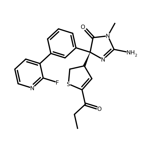 CCC(=O)C1=CC([C@]2(c3cccc(-c4cccnc4F)c3)N=C(N)N(C)C2=O)CS1